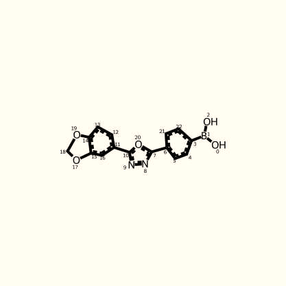 OB(O)c1ccc(-c2nnc(-c3ccc4c(c3)OCO4)o2)cc1